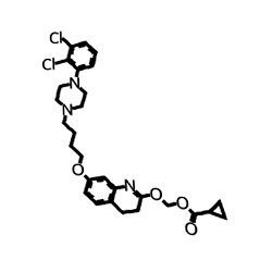 O=C(OCOC1=Nc2cc(OCCCCN3CCN(c4cccc(Cl)c4Cl)CC3)ccc2CC1)C1CC1